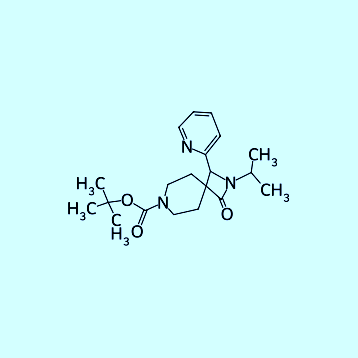 CC(C)N1C(=O)C2(CCN(C(=O)OC(C)(C)C)CC2)C1c1ccccn1